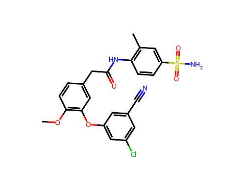 COc1ccc(CC(=O)Nc2ccc(S(N)(=O)=O)cc2C)cc1Oc1cc(Cl)cc(C#N)c1